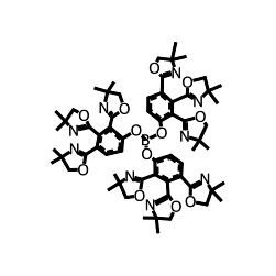 CC1(C)COC(c2ccc(OB(Oc3ccc(C4=NC(C)(C)CO4)c(C4=NC(C)(C)CO4)c3C3=NC(C)(C)CO3)Oc3ccc(C4=NC(C)(C)CO4)c(C4=NC(C)(C)CO4)c3C3=NC(C)(C)CO3)c(C3=NC(C)(C)CO3)c2C2=NC(C)(C)CO2)=N1